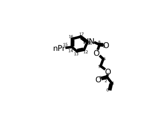 C=CC(=O)OCCOC(=O)Nc1ccc(CCC)cc1